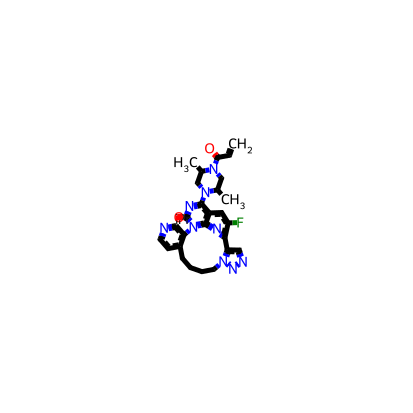 C=CC(=O)N1CC(C)N(c2nc(=O)n3c4nc(c(F)cc24)-c2cnnn2CCCCc2ccnc(C(C)C)c2-3)CC1C